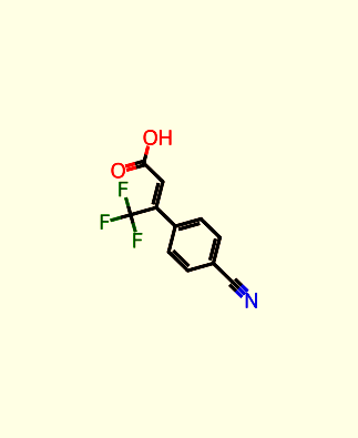 N#Cc1ccc(C(=CC(=O)O)C(F)(F)F)cc1